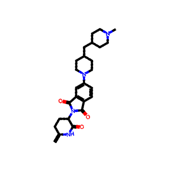 C=C1CCC(N2C(=O)c3ccc(N4CCC(CC5CCN(C)CC5)CC4)cc3C2=O)C(=O)N1